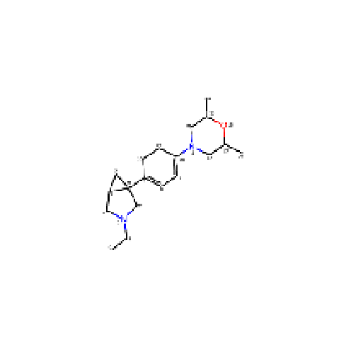 CCN1CC2CC2(C2=CC=C(N3CC(C)OC(C)C3)CC2)C1